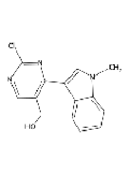 Cn1cc(-c2nc(Cl)ncc2CO)c2ccccc21